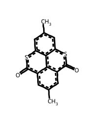 Cc1cc2sc(=O)c3cc(C)cc4c(=O)sc(c1)c2c34